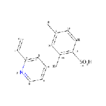 C=Cc1ccccn1.Cc1ccc(S(=O)(=O)O)c(C)c1